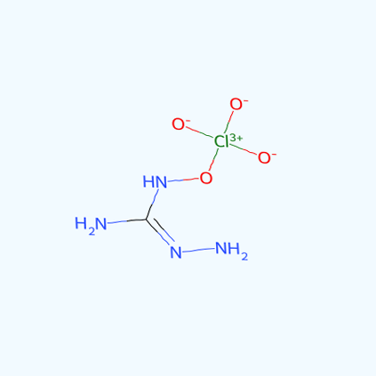 NN=C(N)NO[Cl+3]([O-])([O-])[O-]